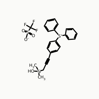 C[Si](C)(O)CC#Cc1ccc([S+](c2ccccc2)c2ccccc2)cc1.O=S(=O)([O-])C(F)(F)F